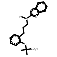 CC(C)N(CCCc1ccccc1OC(C)(C)C(=O)O)c1nc2ccccc2o1